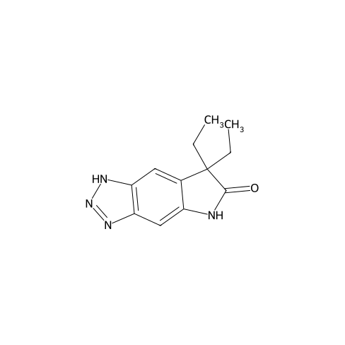 CCC1(CC)C(=O)Nc2cc3nn[nH]c3cc21